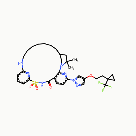 CC1(C)CC2CCCCCCCNc3cccc(n3)S(=O)(=O)NC(=O)c3ccc(-n4cc(OCCC5(C(F)(F)F)CC5)cn4)nc3N1C2